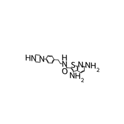 Nc1ccc2c(N)c(C(=O)NCCc3ccc(N4CCNCC4)cc3)sc2n1